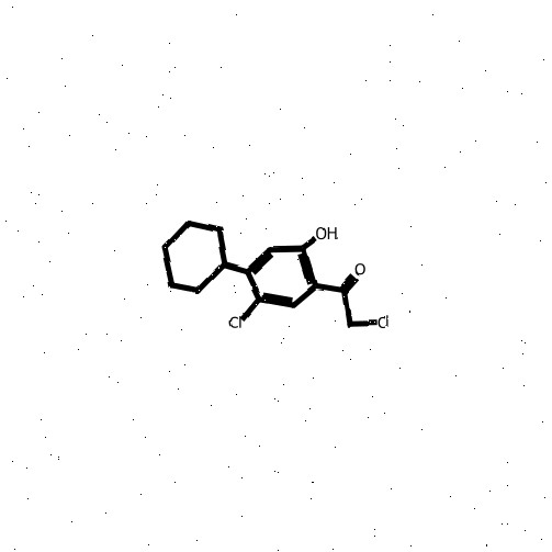 O=C(CCl)c1cc(Cl)c(C2CCCCC2)cc1O